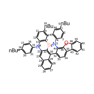 CCCCc1ccc(N2B3c4cc(CCCC)ccc4N(c4ccc(CCCC)cc4)c4cc5ccccc5c(c43)-c3ccc4c(oc5ccccc54)c32)cc1